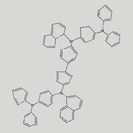 C1=CC2=CC=CC(N(C3=CC=C(N(c4ccccc4)c4ccccc4)CC3)c3ccc(-c4ccc(N(c5ccc(N(c6ccccc6)c6ccccc6)cc5)c5cccc6ccccc56)cc4)cc3)C2C=C1